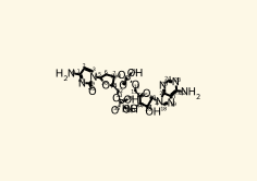 Nc1ccn(C2C[C@H](OP(=O)(O)OC[C@H]3O[C@@H](n4cnc5c(N)ncnc54)[C@H](O)[C@@H]3O)[C@@H](COP(=O)(O)O)O2)c(=O)n1